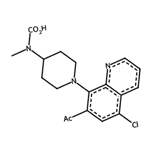 CC(=O)c1cc(Cl)c2cccnc2c1N1CCC(N(C)C(=O)O)CC1